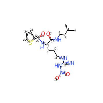 CC(C)C[CH]NC(=O)[C@H](CCCNC(=N)N[N+](=O)[O-])NC(=O)c1cccs1